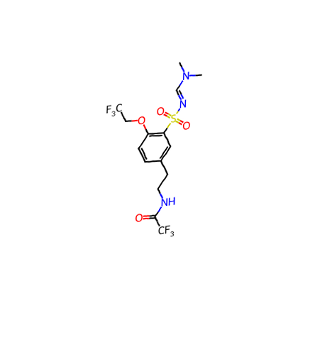 CN(C)C=NS(=O)(=O)c1cc(CCNC(=O)C(F)(F)F)ccc1OCC(F)(F)F